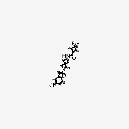 O=C(NC1CC2(C1)CN(c1nc3cc(Cl)ccc3o1)C2)C1CC(F)(F)C1